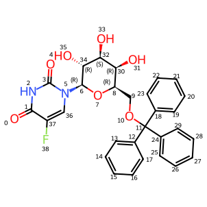 O=c1[nH]c(=O)n([C@@H]2O[C@H](COC(c3ccccc3)(c3ccccc3)c3ccccc3)[C@H](O)[C@H](O)[C@H]2O)cc1F